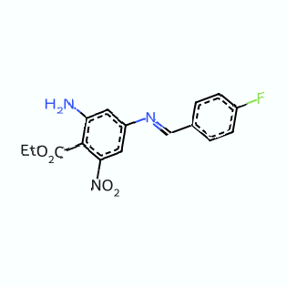 CCOC(=O)c1c(N)cc(N=Cc2ccc(F)cc2)cc1[N+](=O)[O-]